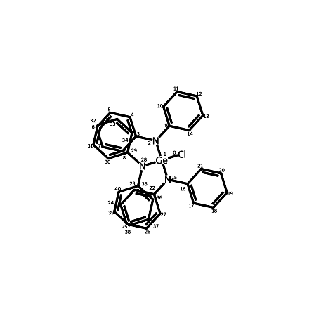 [Cl][Ge]([N](c1ccccc1)c1ccccc1)([N](c1ccccc1)c1ccccc1)[N](c1ccccc1)c1ccccc1